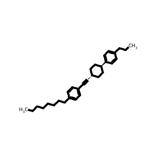 CCCCCCCCc1ccc(C#C[C@H]2CC[C@H](c3ccc(CCC)cc3)CC2)cc1